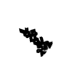 O=C1CC(Nc2nncn2[C@H]2CCc3sc(NC(=O)C4CC4)c(C(=O)NCC4CC4)c3C2)CCN1